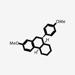 COc1ccc([C@@H]2Cc3cc(OC)ccc3[C@@H]3CCCC[C@H]23)cc1